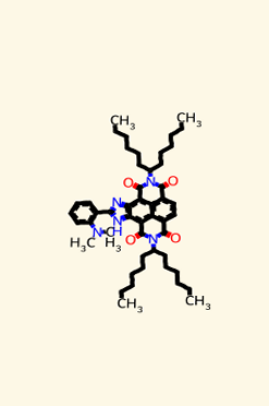 CCCCCCC(CCCCCC)N1C(=O)c2ccc3c4c(c5[nH]c(-c6ccccc6N(C)C)nc5c(c24)C1=O)C(=O)N(C(CCCCCC)CCCCCC)C3=O